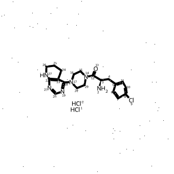 Cl.Cl.N[C@H](Cc1ccc(Cl)cc1)C(=O)N1CCN(c2ncnc3c2CCCN3)CC1